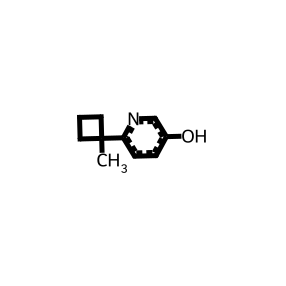 CC1(c2ccc(O)cn2)CCC1